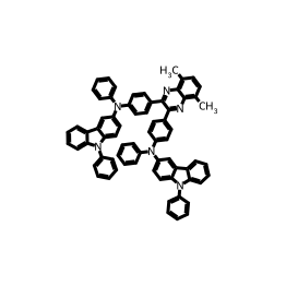 Cc1ccc(C)c2nc(-c3ccc(N(c4ccccc4)c4ccc5c(c4)c4ccccc4n5-c4ccccc4)cc3)c(-c3ccc(N(c4ccccc4)c4ccc5c(c4)c4ccccc4n5-c4ccccc4)cc3)nc12